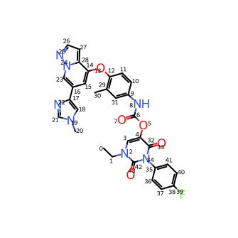 CCn1cc(OC(=O)Nc2ccc(Oc3cc(-c4cn(C)cn4)cn4nccc34)c(C)c2)c(=O)n(-c2ccc(F)cc2)c1=O